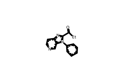 CCC(=O)c1nc2ccncc2n1-c1ccccc1